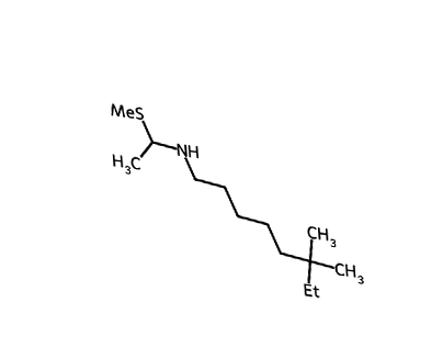 CCC(C)(C)CCCCCNC(C)SC